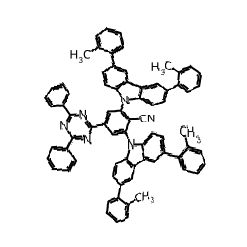 Cc1ccccc1-c1ccc2c(c1)c1cc(-c3ccccc3C)ccc1n2-c1cc(-c2nc(-c3ccccc3)nc(-c3ccccc3)n2)cc(-n2c3ccc(-c4ccccc4C)cc3c3cc(-c4ccccc4C)ccc32)c1C#N